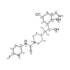 CC(C)(C1CCN(C(=O)Nc2ccc(F)nc2)CC1)C(O)c1cc(Cl)cc2cn[nH]c12